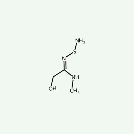 CN/C(CO)=N\SN